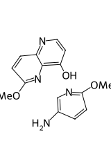 COc1ccc(N)cn1.COc1ccc2nccc(O)c2n1